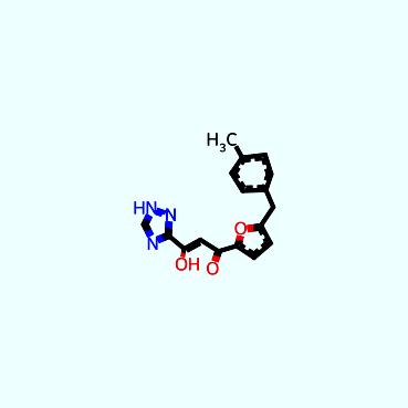 Cc1ccc(Cc2ccc(C(=O)C=C(O)c3nc[nH]n3)o2)cc1